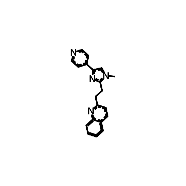 Cn1cc(-c2ccncc2)nc1CCc1ccc2c(n1)=CC=C=C=2